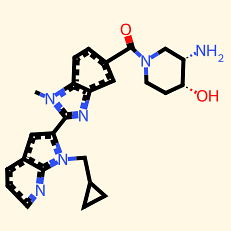 Cn1c(-c2cc3cccnc3n2CC2CC2)nc2cc(C(=O)N3CC[C@@H](O)[C@@H](N)C3)ccc21